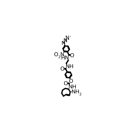 [N-]=[N+]=Nc1ccc(C(=O)NCCNC(=O)c2ccc(OC(=O)N[C@@H]3CCCC/C=C/[C@H]3N)cc2)c([N+](=O)[O-])c1